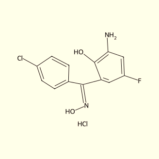 Cl.Nc1cc(F)cc(C(=NO)c2ccc(Cl)cc2)c1O